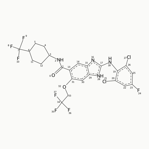 O=C(NC1CCC(C(F)(F)F)CC1)c1cc2nc(Nc3c(Cl)cc(F)cc3Cl)[nH]c2cc1OCC(F)(F)F